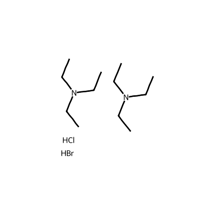 Br.CCN(CC)CC.CCN(CC)CC.Cl